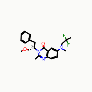 COC[C@H](Cc1ccccc1)n1c(C)nc2ccc(N(C)CC(C)(F)F)cc2c1=O